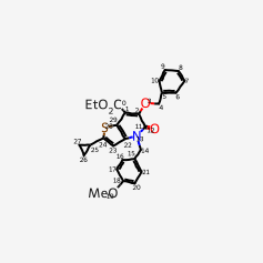 CCOC(=O)c1c(OCc2ccccc2)c(=O)n(Cc2ccc(OC)cc2)c2cc(C3CC3)sc12